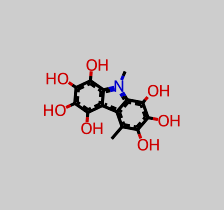 Cc1c(O)c(O)c(O)c2c1c1c(O)c(O)c(O)c(O)c1n2C